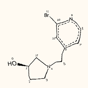 O[C@@H]1CCN(Cc2ccnc(Br)c2)C1